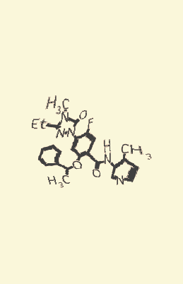 CCc1nn(-c2cc(OC(C)c3ccccc3)c(C(=O)Nc3cnccc3C)cc2F)c(=O)n1C